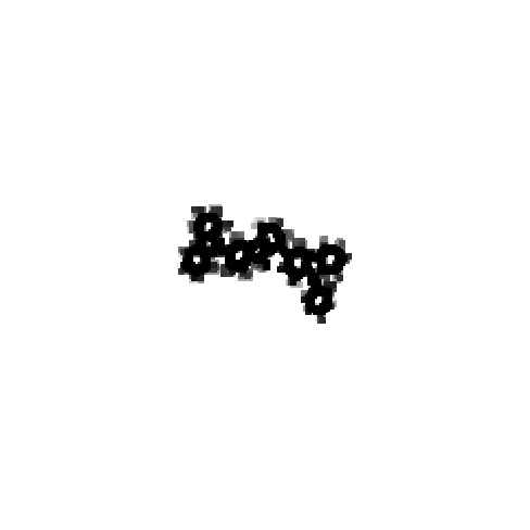 c1ccc(-n2c3ccccc3c3cc(-c4cccc5c4sc4ccc(-n6c7ccccc7c7ccccc76)cc45)ccc32)cc1